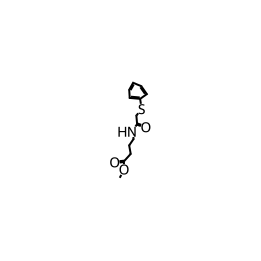 COC(=O)CCCNC(=O)CSc1ccccc1